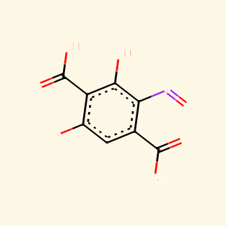 O=Ic1c(C(=O)O)cc(O)c(C(=O)O)c1O